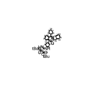 CC(C)(C)OC(=O)N(C(=N)Nc1ccc(N2C(=O)N(Cc3ccccc3)N=C(C3CCCCC3)c3ccccc32)cc1)C(=O)OC(C)(C)C